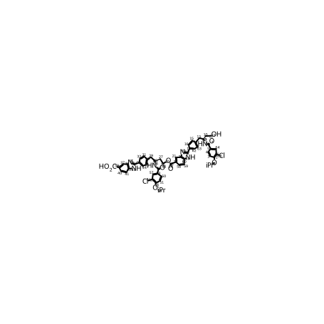 CC(C)Oc1ccc(C(=O)N[C@H](CCO)Cc2ccc(-c3nc4cc(C(=O)OCC[C@H](Cc5ccc(-c6nc7cc(C(=O)O)ccc7[nH]6)cc5)NC(=O)c5ccc(OC(C)C)c(Cl)c5)ccc4[nH]3)cc2)cc1Cl